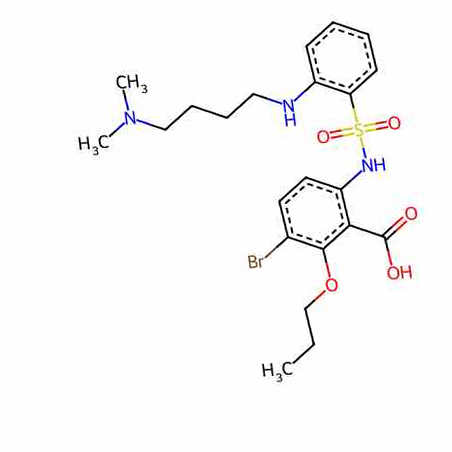 CCCOc1c(Br)ccc(NS(=O)(=O)c2ccccc2NCCCCN(C)C)c1C(=O)O